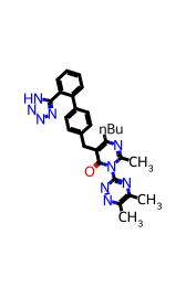 CCCCc1nc(C)n(-c2nnc(C)c(C)n2)c(=O)c1Cc1ccc(-c2ccccc2-c2nnn[nH]2)cc1